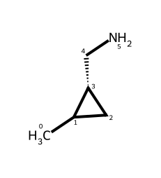 CC1C[C@H]1CN